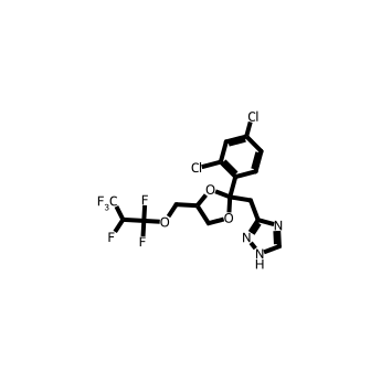 FC(C(F)(F)F)C(F)(F)OCC1COC(Cc2nc[nH]n2)(c2ccc(Cl)cc2Cl)O1